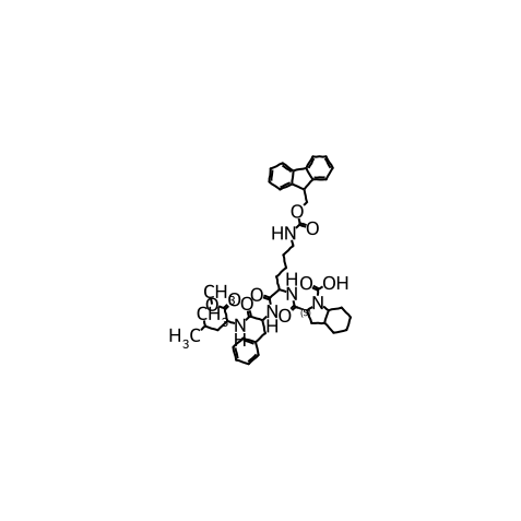 COC(=O)C(CC(C)C)NC(=O)C(Cc1ccccc1)NC(=O)C(CCCCNC(=O)OCC1c2ccccc2-c2ccccc21)NC(=O)[C@@H]1CC2CCCCC2N1C(=O)O